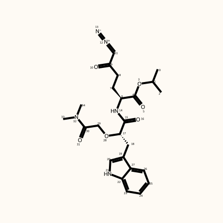 CC(C)OC(=O)[C@H](CCC(=O)C=[N+]=[N-])NC(=O)[C@H](Cc1c[nH]c2ccccc12)OCC(=O)N(C)C